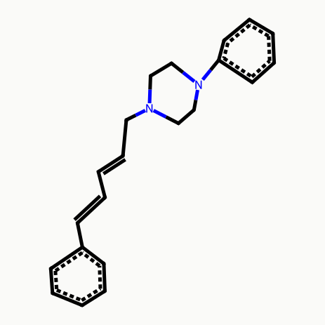 C(C=Cc1ccccc1)=CCN1CCN(c2ccccc2)CC1